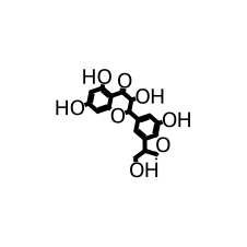 O=C1c2c(O)cc(O)cc2OC(c2cc(O)c3c(c2)C(CO)[CH]O3)C1O